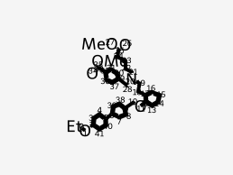 CCOc1ccc(-c2ccc(COc3ccccc3CCN(CCCCC(=O)OC)Cc3ccc(C(=O)OC)cc3)cc2)cc1